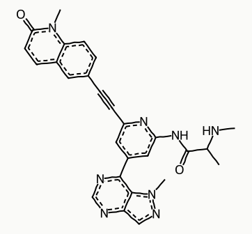 CNC(C)C(=O)Nc1cc(-c2ncnc3cnn(C)c23)cc(C#Cc2ccc3c(ccc(=O)n3C)c2)n1